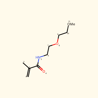 C=C(C)C(=O)NCCOCCOC